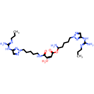 CCCN=C(N)Nc1cnn(CCCCCNC(=O)/C=C\C(=O)OC(N)CCCCn2ncc(NC(N)=NCCC)n2)n1.O